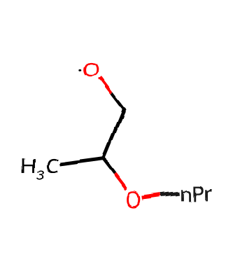 CCCOC(C)C[O]